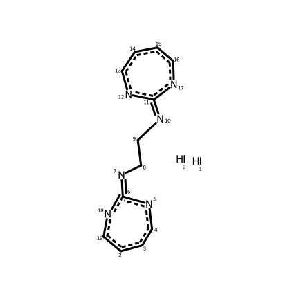 I.I.c1ccnc(=NCCN=c2nccccn2)nc1